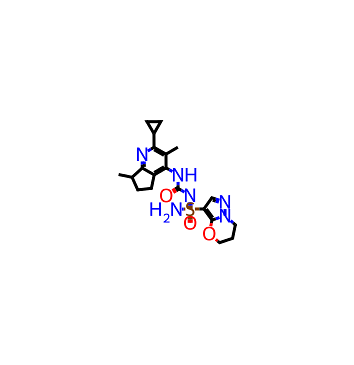 Cc1c(C2CC2)nc2c(c1NC(=O)N=S(N)(=O)c1cnn3c1OCCC3)CCC2C